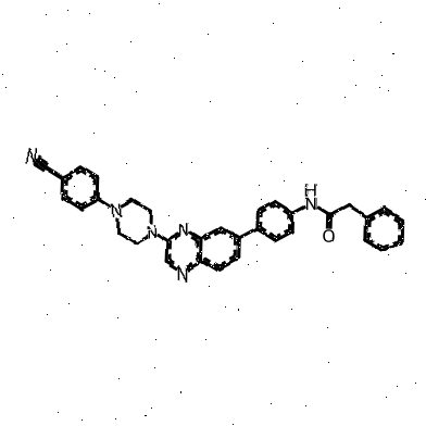 N#Cc1ccc(N2CCN(c3cnc4ccc(-c5ccc(NC(=O)Cc6ccccc6)cc5)cc4n3)CC2)cc1